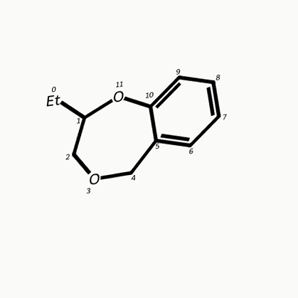 CCC1COCc2ccccc2O1